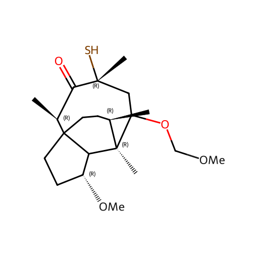 COCOC1C[C@@](C)(S)C(=O)[C@H](C)C23CC[C@@H](C)[C@]1(C)C2[C@H](OC)CC3